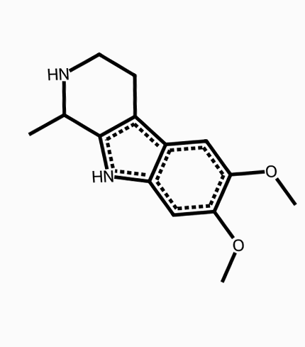 COc1cc2[nH]c3c(c2cc1OC)CCNC3C